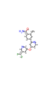 CC(C)c1cc(-c2cc(Oc3cncc(C(F)F)c3)ccn2)ccc1C(N)=O